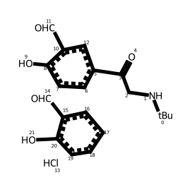 CC(C)(C)NCC(=O)c1ccc(O)c(C=O)c1.Cl.O=Cc1ccccc1O